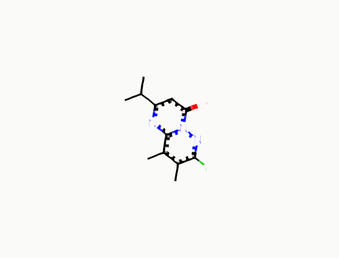 Cc1c(Cl)nn2c(=O)cc(C(C)C)nc2c1C